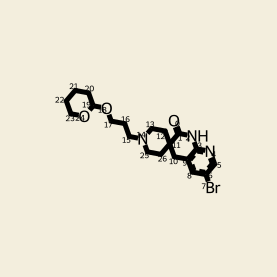 O=C1Nc2ncc(Br)cc2CC12CCN(CCCOC1CCCCO1)CC2